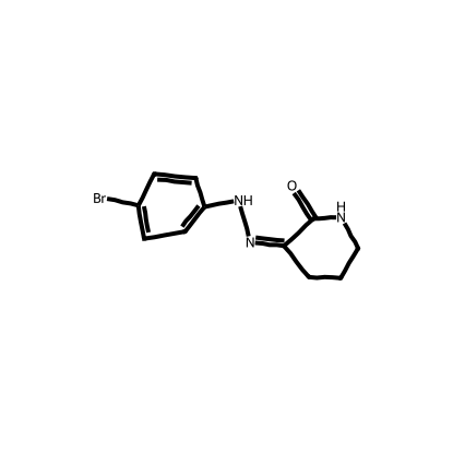 O=C1NCCCC1=NNc1ccc(Br)cc1